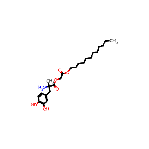 CCCCCCCCCCCCOC(=O)COC(=O)C(C)(N)Cc1ccc(O)c(O)c1